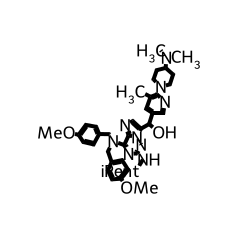 CCCC(C)Nc1nc(N(Cc2ccc(OC)cc2)Cc2ccc(OC)cc2)c2ncc(C(O)c3cnc(N4CCC(N(C)C)CC4)c(C)c3)n2n1